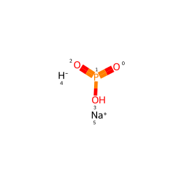 O=P(=O)O.[H-].[Na+]